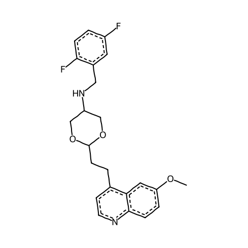 COc1ccc2nccc(CCC3OCC(NCc4cc(F)ccc4F)CO3)c2c1